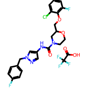 O=C(Nc1cnn(Cc2ccc(F)cc2)c1)N1CCOC(COc2c(F)cccc2Cl)C1.O=C(O)C(F)(F)F